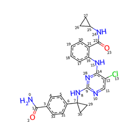 NC(=O)c1ccc(C2(Nc3ncc(Cl)c(Nc4ccccc4C(=O)NC4CC4)n3)CC2)cc1